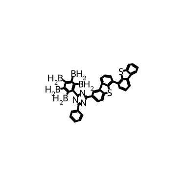 Bc1c(B)c(B)c(-c2nc(-c3ccccc3)nc(-c3ccc4sc5c(-c6cccc7c6sc6ccccc67)cccc5c4c3)n2)c(B)c1B